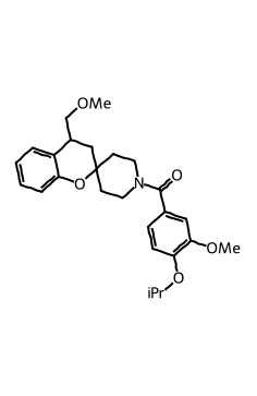 COCC1CC2(CCN(C(=O)c3ccc(OC(C)C)c(OC)c3)CC2)Oc2ccccc21